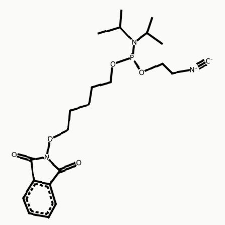 [C-]#[N+]CCOP(OCCCCCON1C(=O)c2ccccc2C1=O)N(C(C)C)C(C)C